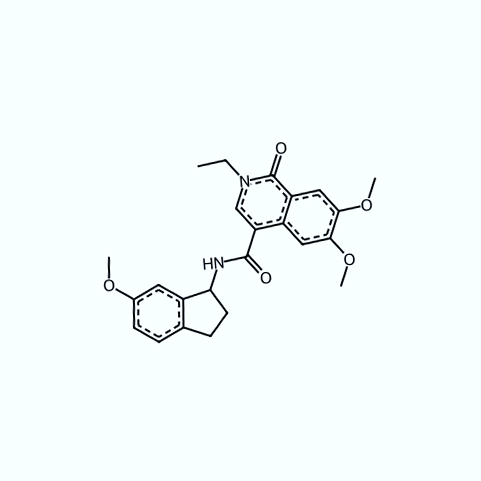 CCn1cc(C(=O)NC2CCc3ccc(OC)cc32)c2cc(OC)c(OC)cc2c1=O